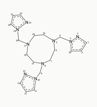 c1cnn(CN2CCN(Cn3cccn3)CCN(Cn3cccn3)CC2)c1